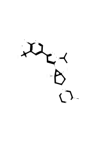 CC(C)n1nc(-c2cnc(N)c(C(F)(F)F)c2)cc1[C@H]1[C@@H]2C[C@H](N3CCO[C@H](C)C3)C[C@@H]21